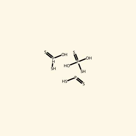 OP(O)(=S)S.O[PH](=S)S.S=PS